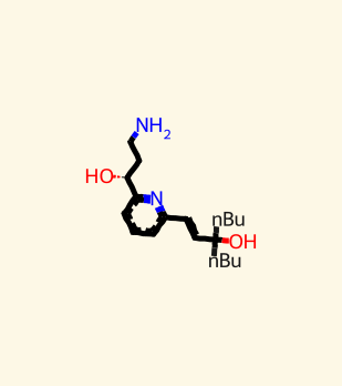 CCCCC(O)(/C=C/c1cccc([C@H](O)CCN)n1)CCCC